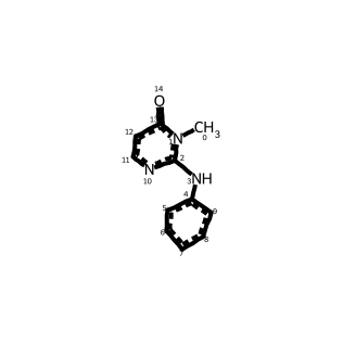 Cn1c(Nc2ccccc2)nccc1=O